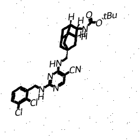 CC(C)(C)OC(=O)N[C@@H]1[C@@H]2CC3C[C@H]1C[C@@](CNc1nc(NCc4cccc(Cl)c4Cl)ncc1C#N)(C3)C2